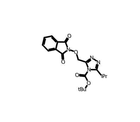 CC(C)c1nnc(CON2C(=O)c3ccccc3C2=O)n1C(=O)OC(C)(C)C